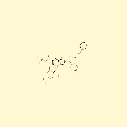 CN(CC(F)(F)F)c1cc2nc([C@@H](NC(=O)OCc3ccccc3)C3CCC(F)(F)CC3)cn2nc1CC1C[C@@H](C(F)(F)F)CNC1=O